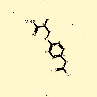 COC(=O)C(C)COc1ccc(CC(O)=S)cc1